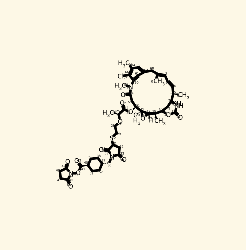 C/C1=C\C=C\[C@@H](C)[C@@]2(O)CC(OC(=O)N2)[C@@H](C)[C@@H]2O[C@@]2(C)[C@@H](OC(=O)[C@H](C)OCCSC2CC(=O)N(C[C@H]3CC[C@H](C(=O)ON4C(=O)CCC4=O)CC3)C2=O)CC(=O)N(C)c2cc(cc(C)c2Cl)C1